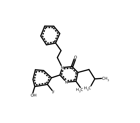 Cc1nc(-c2cccc(O)c2F)n(CCc2ccccc2)c(=O)c1CC(C)C